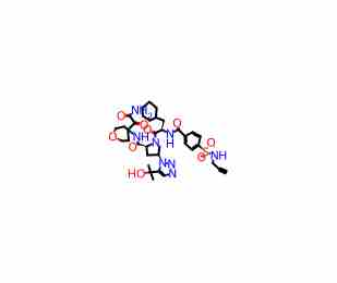 C#CCNS(=O)(=O)c1ccc(C(=O)N[C@H](CC2CCCCC2)C(=O)N2C[C@@H](n3nncc3C(C)(C)O)C[C@H]2C(=O)NC2(C(=O)C(N)=O)CCOCC2)cc1